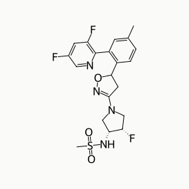 Cc1ccc(C2CC(N3C[C@H](F)[C@H](NS(C)(=O)=O)C3)=NO2)c(-c2ncc(F)cc2F)c1